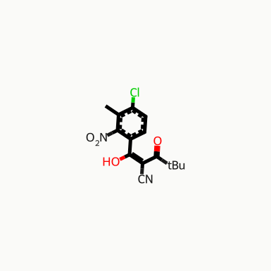 Cc1c(Cl)ccc(C(O)=C(C#N)C(=O)C(C)(C)C)c1[N+](=O)[O-]